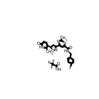 Cc1nc(C(=O)NCc2ccc(F)cc2)cc(C2=NOC(c3ccc(=O)[nH]c3C)C2)n1.O=C(O)C(F)(F)F